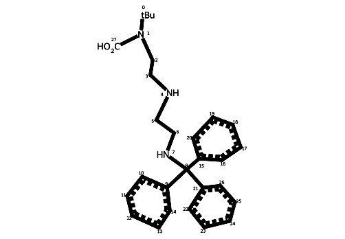 CC(C)(C)N(CCNCCNC(c1ccccc1)(c1ccccc1)c1ccccc1)C(=O)O